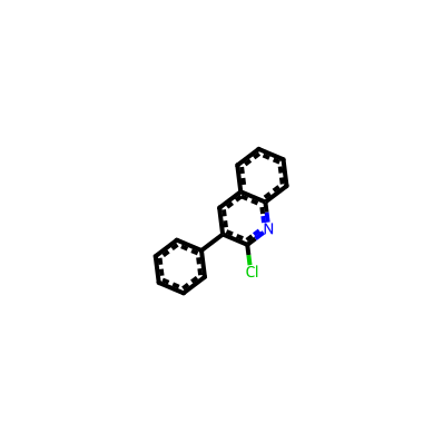 Clc1nc2ccccc2cc1-c1ccccc1